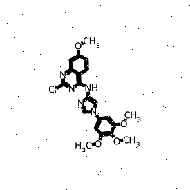 COc1ccc2c(Nc3cn(-c4cc(OC)c(OC)c(OC)c4)cn3)nc(Cl)nc2c1